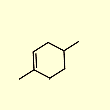 CC1=CCC(C)C[CH]1